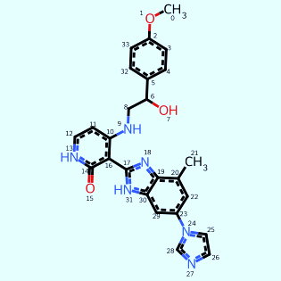 COc1ccc(C(O)CNc2cc[nH]c(=O)c2-c2nc3c(C)cc(-n4ccnc4)cc3[nH]2)cc1